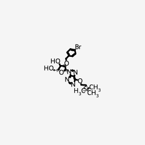 C[Si](C)(C)CCOc1ncnc2c1ncn2[C@@H]1O[C@H](CO)C(O)[C@H]1OCc1ccc(Br)cc1